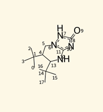 CC(C)(C)C1Cn2[nH]c(=O)nc2NC1C(C)(C)C